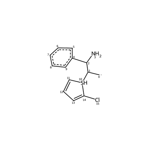 [CH2]C(C(N)c1ccccc1)[SH]1C=CC=C1Cl